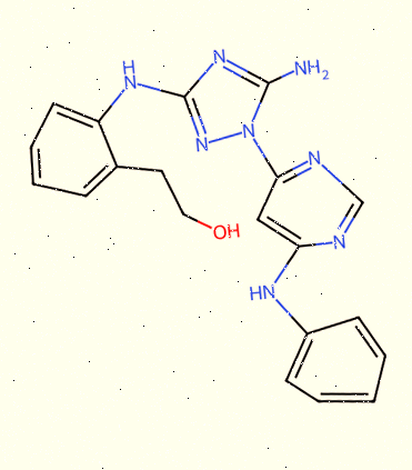 Nc1nc(Nc2ccccc2CCO)nn1-c1cc(Nc2ccccc2)ncn1